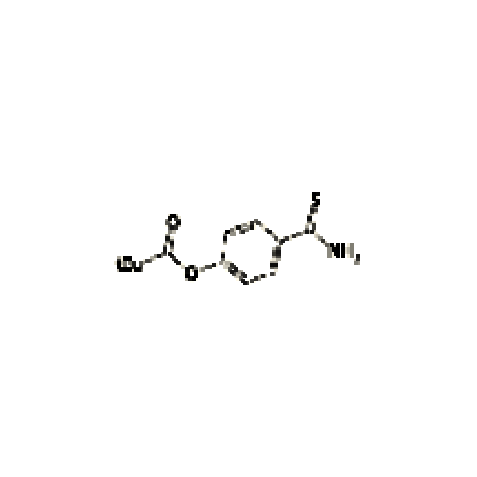 CC(C)(C)C(=O)Oc1ccc(C(N)=S)cc1